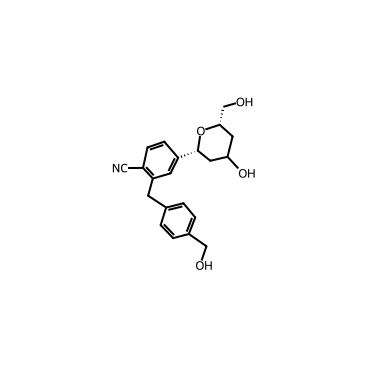 N#Cc1ccc([C@H]2CC(O)C[C@@H](CO)O2)cc1Cc1ccc(CO)cc1